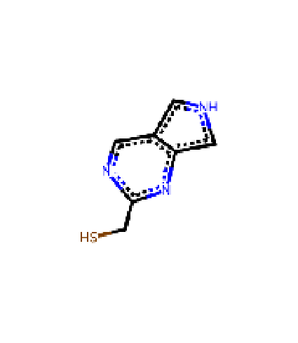 SCc1ncc2c[nH]cc2n1